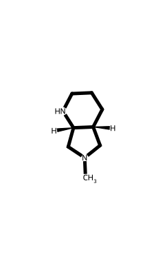 CN1C[C@H]2CCCN[C@H]2C1